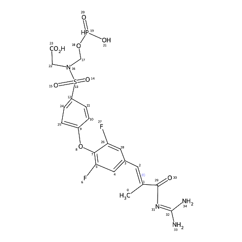 C/C(=C\c1cc(F)c(Oc2ccc(S(=O)(=O)N(CO[PH](=O)O)CC(=O)O)cc2)c(F)c1)C(=O)N=C(N)N